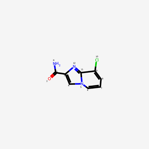 NC(=O)c1cn2cccc(Cl)c2n1